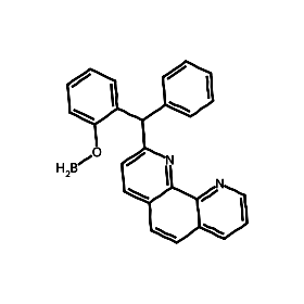 BOc1ccccc1C(c1ccccc1)c1ccc2ccc3cccnc3c2n1